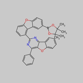 CC1(C)OB(c2ccc3oc4cccc(-c5nc(-c6ccccc6)c6oc7ccccc7c6n5)c4c3c2)OC1(C)C